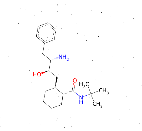 CC(C)(C)NC(=O)[C@@H]1CCCC[C@H]1C[C@@H](O)[C@@H](N)Cc1ccccc1